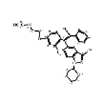 CCC(=C(c1ccc2c(c1)c(F)nn2C1CCCCO1)c1ccc(OCCNC(=O)O)cc1F)c1ccccc1